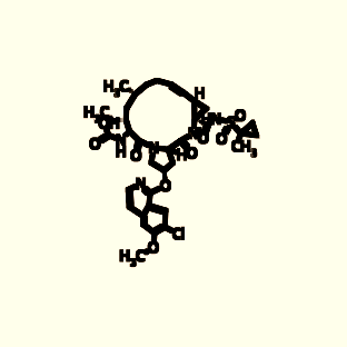 CC[C@@H]1C[C@H](C)CCC=C[C@@H]2C[C@@]2(C(=O)NS(=O)(=O)C2(C)CC2)NC(=O)[C@@H]2C[C@@H](Oc3nccc4cc(OC)c(Cl)cc34)CN2C(=O)[C@H]1NC(=O)O